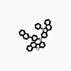 c1ccc(-n2c3cc(N(c4ccc(-c5ccc6ccccc6c5)cc4)c4cccc5oc6c7ccccc7ccc6c45)ccc3c3ccc4ccccc4c32)cc1